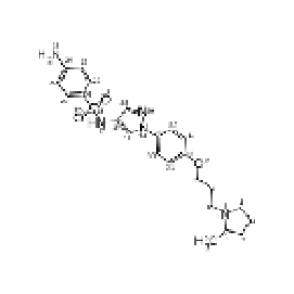 CC1CCCN1CCCOc1ccc(-n2cc(NS(=O)(=O)c3ccc(N)cc3)cn2)cc1